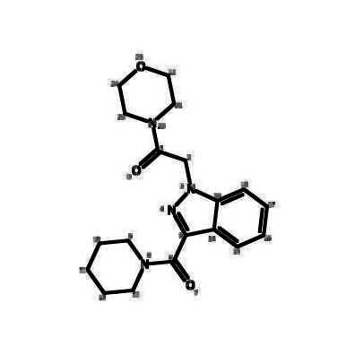 O=C(Cn1nc(C(=O)N2CCCCC2)c2ccccc21)N1CCOCC1